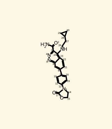 NC(=O)c1nnc2cc(-c3ccc(N4CCOC4=O)cc3)ccc2c1NCCC1CC1